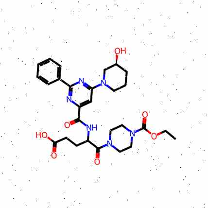 CCOC(=O)N1CCN(C(=O)C(CCC(=O)O)NC(=O)c2cc(N3CCC[C@H](O)C3)nc(-c3ccccc3)n2)CC1